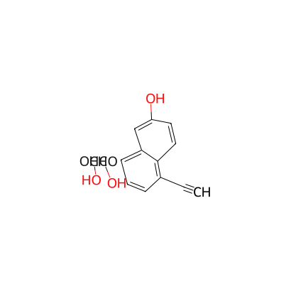 C#Cc1cccc2cc(O)ccc12.O=CO.O=CO